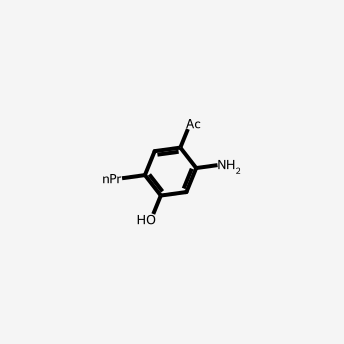 CCCc1cc(C(C)=O)c(N)cc1O